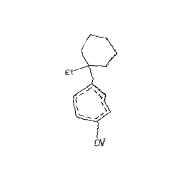 CCC1(c2ccc(C#N)cc2)CCCCC1